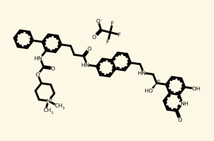 C[N+]1(C)CCC(OC(=O)Nc2cc(CCC(=O)Nc3ccc4cc(CNC[C@H](O)c5ccc(O)c6[nH]c(=O)ccc56)ccc4c3)ccc2-c2ccccc2)CC1.O=C([O-])C(F)(F)F